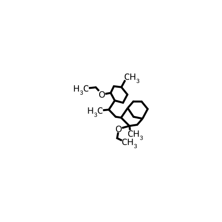 CCOC1CC(C)CCC1C(C)CC1C2CCCC(C2)CC1(C)OCC